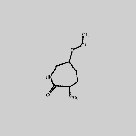 CNC1CCC(OPP)CNC1=O